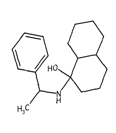 CC(NC1(O)CCCC2CCCCC21)c1ccccc1